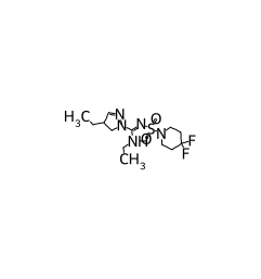 CCN/C(=N\S(=O)(=O)N1CCC(F)(F)CC1)N1CC(CC)C=N1